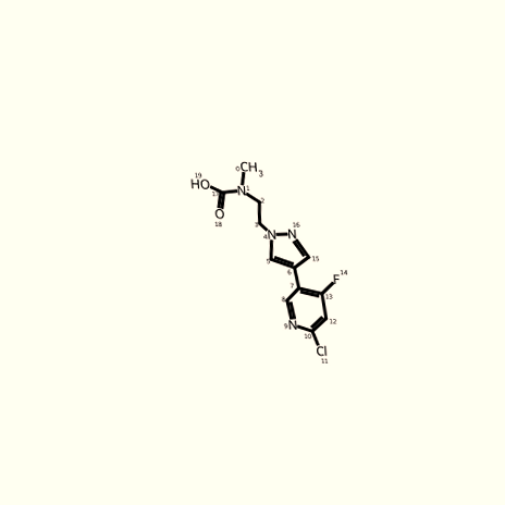 CN(CCn1cc(-c2cnc(Cl)cc2F)cn1)C(=O)O